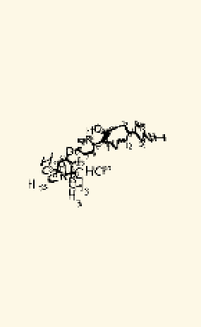 CC1(C)C[C@H](Oc2ccc(-c3ncc(-c4cn[nH]c4)cc3O)nn2)[C@H](F)C(C)(C)N1.Cl